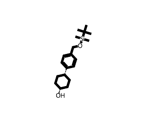 CC(C)(C)[Si](C)(C)OCc1ccc([C@H]2CC[C@@H](O)CC2)cc1